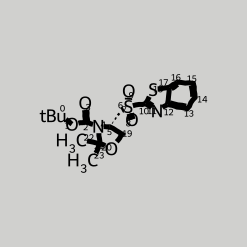 CC(C)(C)OC(=O)N1[C@H](CS(=O)(=O)c2nc3ccccc3s2)COC1(C)C